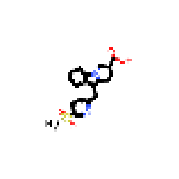 CS(=O)(=O)c1ccc(Cc2c3n(c4ccccc24)CC(C(=O)O)CC3)nc1